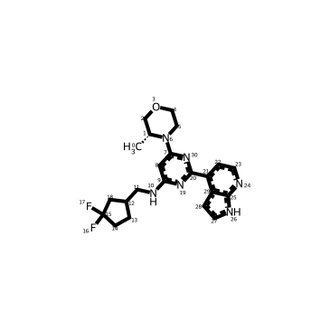 C[C@@H]1COCCN1c1cc(NCC2CCC(F)(F)C2)nc(-c2ccnc3[nH]ccc23)n1